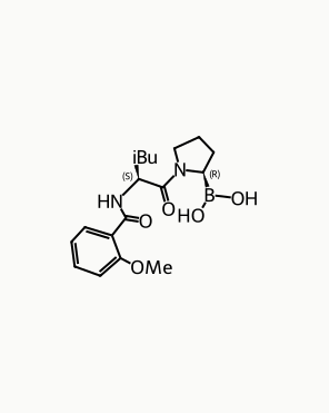 CCC(C)[C@H](NC(=O)c1ccccc1OC)C(=O)N1CCC[C@H]1B(O)O